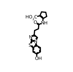 O=C(CCc1cn2c(n1)sc1cc(O)ccc12)NC1=C(C(=O)O)CCC1